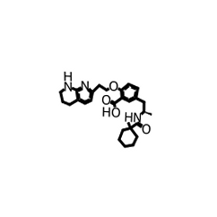 C[C@H](Cc1ccc(OCCc2ccc3c(n2)NCCC3)c(C(=O)O)c1)NC(=O)C1(C)CCCCC1